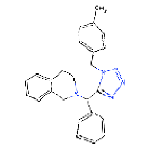 Cc1ccc(Cn2nnnc2C(c2ccccc2)N2CCc3ccccc3C2)cc1